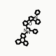 c1ccc(-c2cc(-c3cccc4c3oc3c4ccc4c3c3ccccc3n4-c3ccccc3)nc(-c3ccc4c5ccccc5c5ccccc5c4c3)n2)cc1